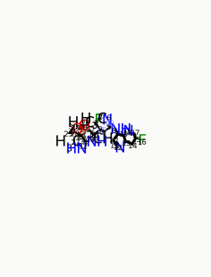 C=C(F)/C(=C\C(=N/C)Nc1ccnc2cc(F)cnc12)[C@]1(C)CS(=O)(=O)[C@@](C)(C2CC2)C(=N)N1